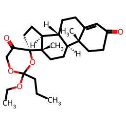 CCCC1(OCC)OCC(=O)[C@]2(CC[C@H]3[C@@H]4CCC5=CC(=O)CC[C@]5(C)[C@H]4CC[C@@]32C)O1